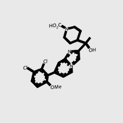 COc1ccc(Cl)c(Cl)c1-c1ccn2cc(C(C)(O)C3CCN(C(=O)O)CC3)nc2c1